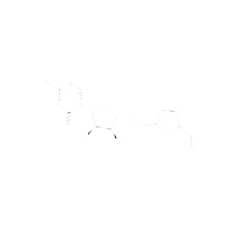 Nc1ccn([C@@H]2O[C@H](COC3COC(CO)O3)[C@@H](O)[C@H]2O)c(=O)n1